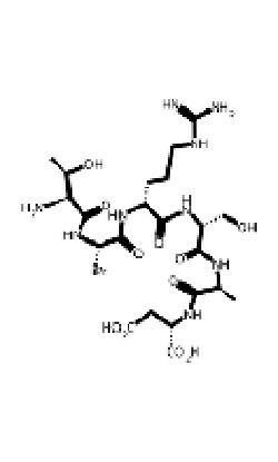 CC(C)[C@H](NC(=O)[C@@H](N)[C@@H](C)O)C(=O)N[C@H](CCCNC(=N)N)C(=O)N[C@H](CO)C(=O)N[C@@H](C)C(=O)N[C@@H](CC(=O)O)C(=O)O